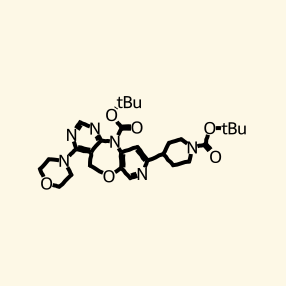 CC(C)(C)OC(=O)N1CCC(c2cc3c(cn2)OCc2c(N4CCOCC4)ncnc2N3C(=O)OC(C)(C)C)CC1